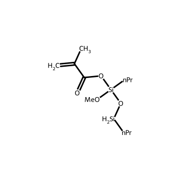 C=C(C)C(=O)O[Si](CCC)(OC)O[SiH2]CCC